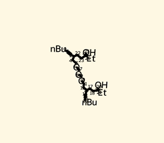 CCCCC#CC(CCOCOCOCCC(C#CCCCC)CCC(O)CC)CCC(O)CC